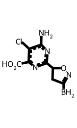 BC1=NOC(c2nc(N)c(Cl)c(C(=O)O)n2)C1